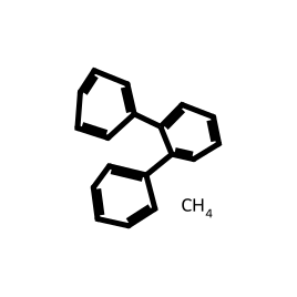 C.c1ccc(-c2ccccc2-c2ccccc2)cc1